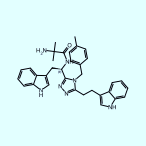 Cc1ccc(Cn2c(CCc3c[nH]c4ccccc34)nnc2[C@@H](Cc2c[nH]c3ccccc23)NC(=O)C(C)(C)N)cc1